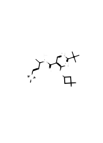 CC(/C=C/S(C)(=O)=O)NC(=O)c1cnc(C(C)(C)C)nc1OC1CC(F)(F)C1